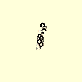 Cc1nc2ccccn2c1NC(=O)[C@H]1CC[C@H]2[C@@H]3CC[C@@H]4C[C@](C)(O)CC[C@@H]4[C@H]3CC[C@]12C